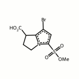 COS(=O)(=O)c1cc(Br)c2n1CCC2C(=O)O